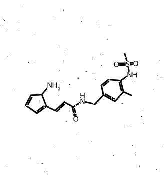 Cc1cc(CNC(=O)/C=C/C2=CC=CC2N)ccc1NS(C)(=O)=O